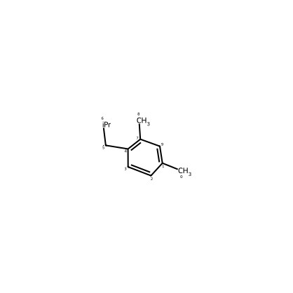 Cc1ccc([CH]C(C)C)c(C)c1